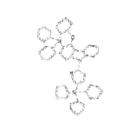 c1ccc([Si](c2ccccc2)(c2ccccc2)c2ccc(-n3c4ccccc4c4c5c(ccc43)[Si](c3ccccc3)(c3ccccc3)c3ccccc3O5)nc2)cc1